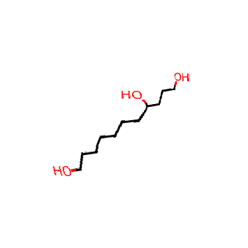 OCCCCCCCC(O)CCCO